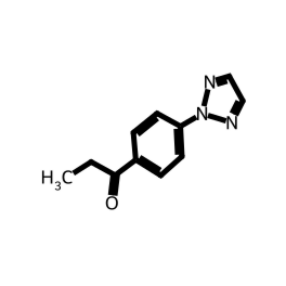 CCC(=O)c1ccc(-n2nccn2)cc1